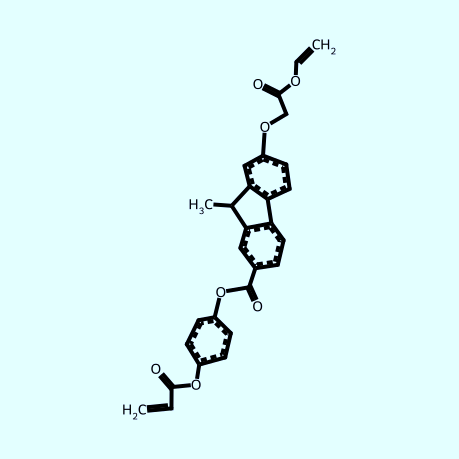 C=COC(=O)COc1ccc2c(c1)C(C)c1cc(C(=O)Oc3ccc(OC(=O)C=C)cc3)ccc1-2